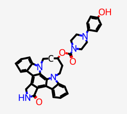 O=C1NCc2c1c1c3ccccc3n3c1c1c2c2ccccc2n1CCC(OC(=O)N1CCN(c2ccc(O)cc2)CC1)CC3